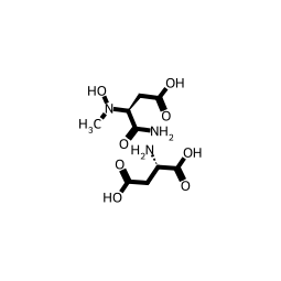 CN(O)[C@@H](CC(=O)O)C(N)=O.N[C@@H](CC(=O)O)C(=O)O